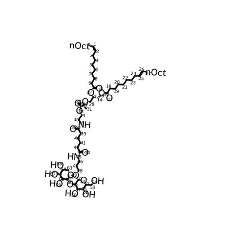 CCCCCCCC/C=C\CCCCCCCC(=O)O[C@H](COC(=O)CCCCCCC/C=C/CCCCCCCC)COP(C)(=O)OCCNC(=O)CCCCC(=O)NCCCO[C@@H]1OC(CO)[C@H](O)[C@H](O)C1O[C@@H]1OC[C@@H](O)[C@H](O)C1O